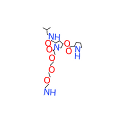 CNCCOCCOCCOCC(=O)N1CC(OC(=O)C2CCCN2)CC1C(=O)NCC(C)C